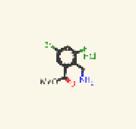 COC(=O)c1cc(Br)cc(F)c1CN.Cl